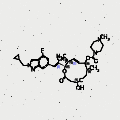 C/C(=C\c1cc(F)c2cn(CC3CC3)nc2c1)[C@H]1OC(=O)C[C@H](O)CC[C@H](C)[C@H](OC(=O)N2CCN(C)CC2)/C=C/[C@@H]1C